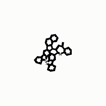 C=C1C=C(C2c3cc4sc5ccccc5c4cc3-c3ccc4ccccc4c32)C(c2ccc3sc4ccccc4c3c2)=Nc2ccccc21